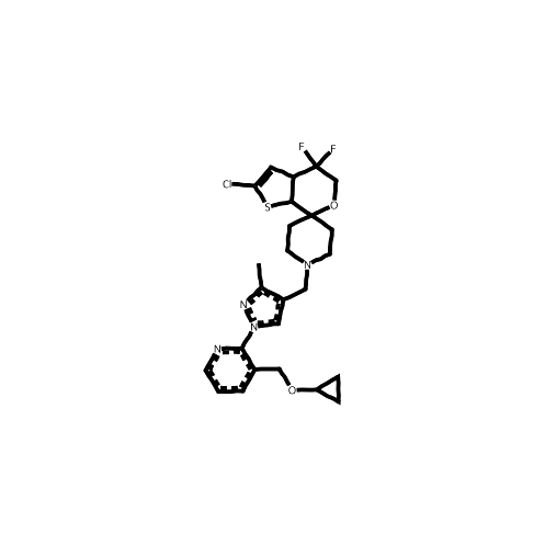 Cc1nn(-c2ncccc2COC2CC2)cc1CN1CCC2(CC1)OCC(F)(F)C1C=C(Cl)SC12